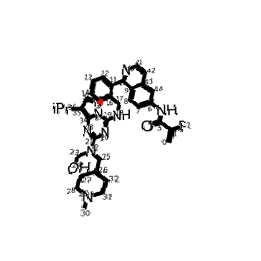 C=C(F)C(=O)Nc1ccc2c(-c3ccccc3CNc3nc(N(CO)CC4CCN(C)CC4)nc4c(C(C)C)cnn34)nccc2c1